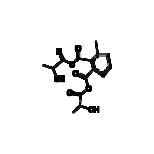 Cc1cccc(C(=O)OC(=O)C(C)O)c1C(=O)OC(=O)C(C)O